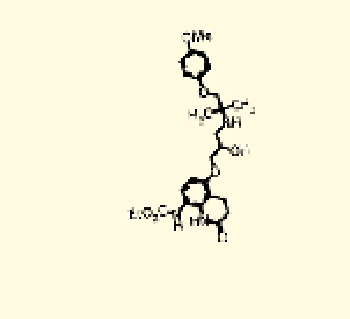 CCOC(=O)Nc1ccc(OCC(O)CNC(C)(C)COc2ccc(OC)cc2)c2c1NC(=O)CC2